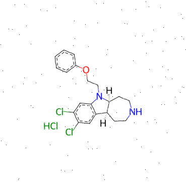 Cl.Clc1cc2c(cc1Cl)N(CCOc1ccccc1)[C@H]1CCNCC[C@@H]21